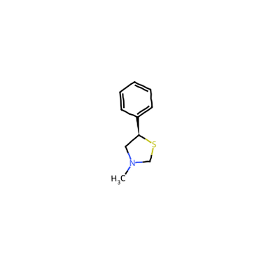 CN1CS[C@H](c2ccccc2)C1